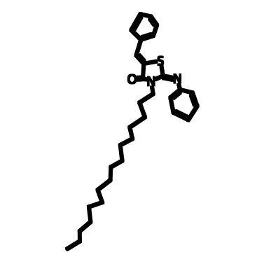 CCCCCCCCCCCCCCCCN1C(=O)/C(=C/c2ccccc2)S/C1=N/c1ccccc1